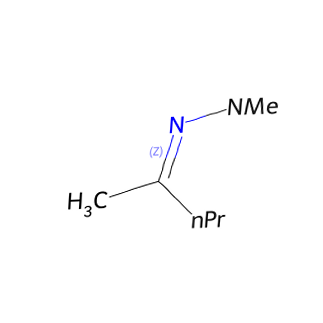 CCC/C(C)=N\NC